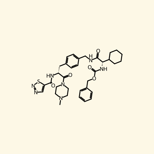 CN1CCN(C(=O)[C@@H](Cc2ccc(CNC(=O)[C@@H](NC(=O)OCc3ccccc3)C3CCCCC3)cc2)NC(=O)c2cnns2)CC1